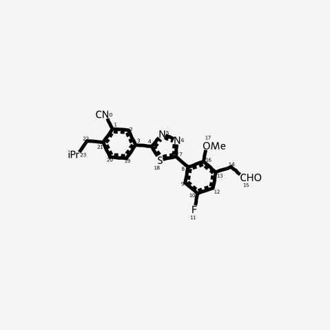 [C-]#[N+]c1cc(-c2nnc(-c3cc(F)cc(CC=O)c3OC)s2)ccc1CC(C)C